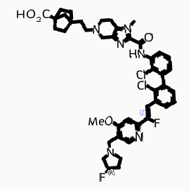 COc1cc(/C(F)=C/c2cccc(-c3cccc(NC(=O)c4nc5c(n4C)CCN(CCC46CCC(C(=O)O)(CC4)C6)C5)c3Cl)c2Cl)ncc1CN1CC[C@@H](F)C1